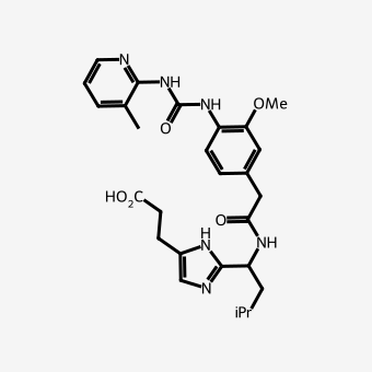 COc1cc(CC(=O)NC(CC(C)C)c2ncc(CCC(=O)O)[nH]2)ccc1NC(=O)Nc1ncccc1C